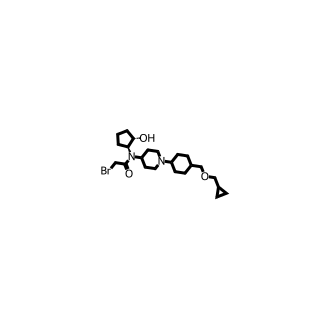 O=C(CBr)N(C1CCN(C2CCC(COCC3CC3)CC2)CC1)[C@H]1CCC[C@@H]1O